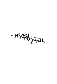 CCOC(=O)COCCOCCN.Cl